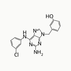 Nc1nc(Nc2cccc(Cl)c2)c2ncn(Cc3cccc(O)c3)c2n1